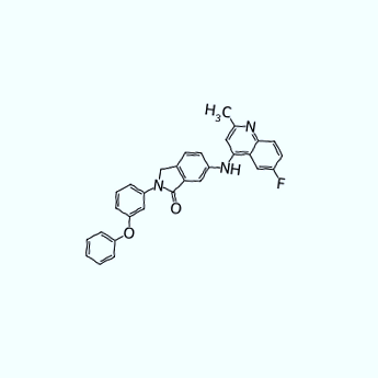 Cc1cc(Nc2ccc3c(c2)C(=O)N(c2cccc(Oc4ccccc4)c2)C3)c2cc(F)ccc2n1